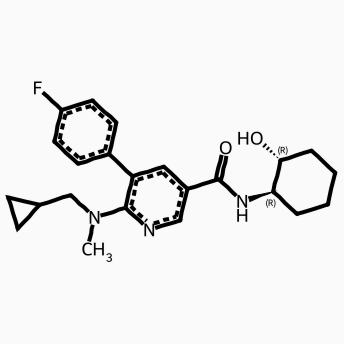 CN(CC1CC1)c1ncc(C(=O)N[C@@H]2CCCC[C@H]2O)cc1-c1ccc(F)cc1